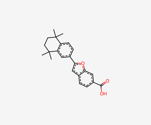 CC1(C)CCC(C)(C)c2cc(-c3cc4ccc(C(=O)O)cc4o3)ccc21